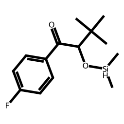 C[SiH](C)OC(C(=O)c1ccc(F)cc1)C(C)(C)C